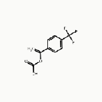 C=C(OC(=O)O)c1ccc(C(F)(F)F)cc1